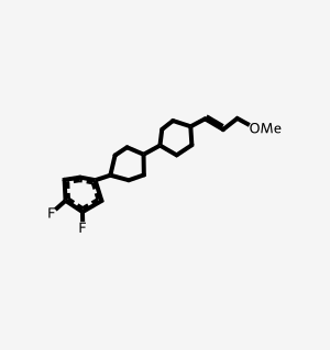 COCC=CC1CCC(C2CCC(c3ccc(F)c(F)c3)CC2)CC1